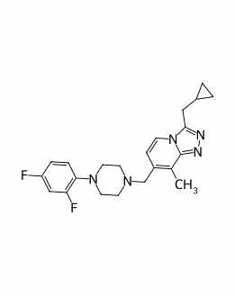 Cc1c(CN2CCN(c3ccc(F)cc3F)CC2)ccn2c(CC3CC3)nnc12